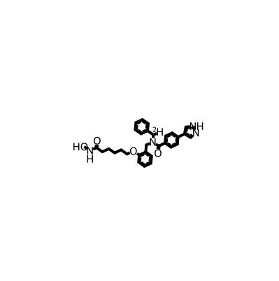 [2H]C(c1ccccc1)N(Cc1ccccc1OCCCCCC(=O)NO)C(=O)c1ccc(-c2cn[nH]c2)cc1